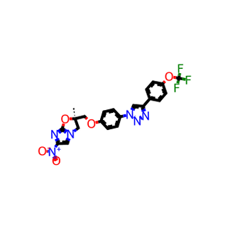 C[C@]1(COc2ccc(-n3cc(-c4ccc(OC(F)(F)F)cc4)nn3)cc2)Cn2cc([N+](=O)[O-])nc2O1